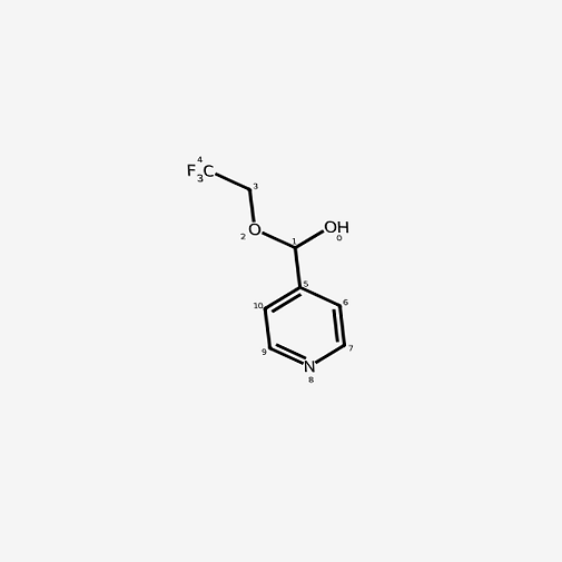 OC(OCC(F)(F)F)c1ccncc1